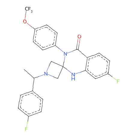 CC(c1ccc(F)cc1)N1CC2(C1)Nc1cc(F)ccc1C(=O)N2c1ccc(OC(F)(F)F)cc1